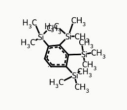 C[Si](C)(C)c1[c]cc([Si](C)(C)C)c([Si](C)(C)C)c1[Si](C)(C)C